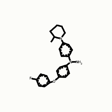 CC1CCCCN1c1ccc(N(N)c2ccc(Oc3ccc(F)cc3)cc2)cc1